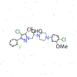 COc1cc(N2CCN(C(C=O)Cn3nc(-c4ccccc4F)c(Cl)c3C(F)(F)F)CC2)ccc1Cl